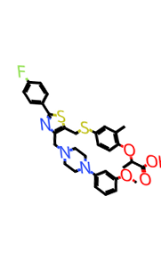 COc1cccc(N2CCN(Cc3nc(-c4ccc(F)cc4)sc3CSc3ccc(OC(C)C(=O)O)c(C)c3)CC2)c1